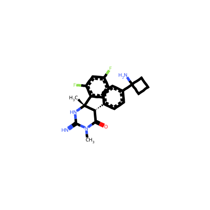 CN1C(=N)N[C@](C)(c2ccc(F)cc2F)[C@H](c2ccc(C3(N)CCC3)cc2)C1=O